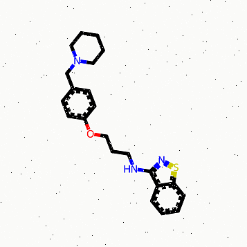 c1ccc2c(NCCCOc3ccc(CN4CCCCC4)cc3)nsc2c1